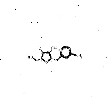 Nc1cc(C[C@@H]2O[C@H](CO)[C@@H](O)[C@H]2O)ncn1